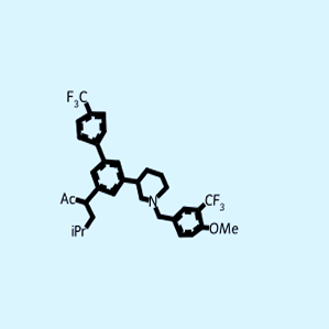 COc1ccc(CN2CCCC(c3cc(-c4ccc(C(F)(F)F)cc4)cc(C(CC(C)C)C(C)=O)c3)C2)cc1C(F)(F)F